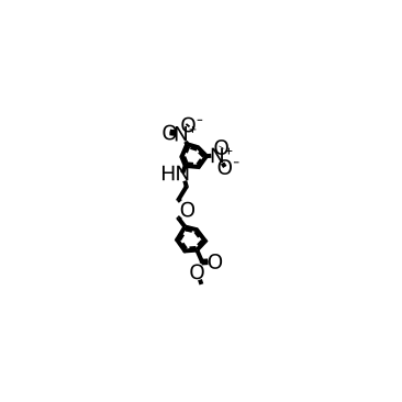 COC(=O)c1ccc(COCCNc2cc([N+](=O)[O-])cc([N+](=O)[O-])c2)cc1